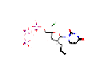 C=CC[C@]1(O)C(n2ccc(=O)[nH]c2=O)O[C@](CF)(COP(=O)(O)OP(=O)(O)OP(=O)(O)O)[C@H]1O